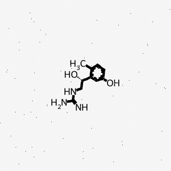 Cc1ccc(O)cc1[C@@H](O)CNC(=N)N